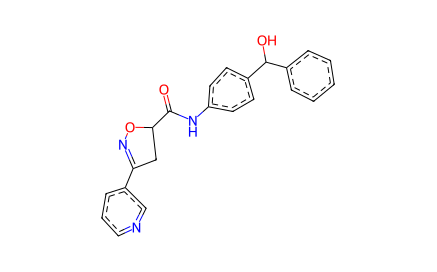 O=C(Nc1ccc(C(O)c2ccccc2)cc1)C1CC(c2cccnc2)=NO1